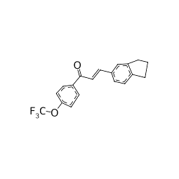 O=C(/C=C/c1ccc2c(c1)CCC2)c1ccc(OC(F)(F)F)cc1